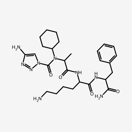 CC(C(=O)NC(CCCCN)C(=O)NC(Cc1ccccc1)C(N)=O)N(C(=O)n1cc(N)nn1)C1CCCCC1